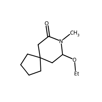 CCOC1CC2(CCCC2)CC(=O)N1C